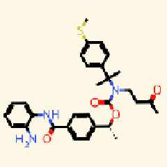 CSc1ccc(C(C)(C)N(CCC(C)=O)C(=O)O[C@H](C)c2ccc(C(=O)Nc3ccccc3N)cc2)cc1